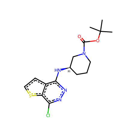 CC(C)(C)OC(=O)N1CCC[C@@H](Nc2nnc(Cl)c3sccc23)C1